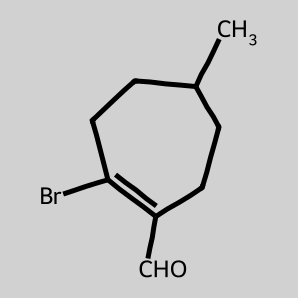 CC1CCC(Br)=C(C=O)CC1